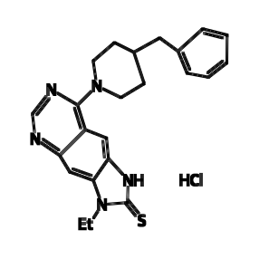 CCn1c(=S)[nH]c2cc3c(N4CCC(Cc5ccccc5)CC4)ncnc3cc21.Cl